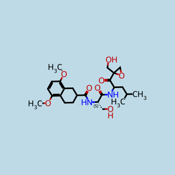 COc1ccc(OC)c2c1CCC(C(=O)N[C@@H](CO)C(=O)NC(CC(C)C)C(=O)C1(CO)CO1)C2